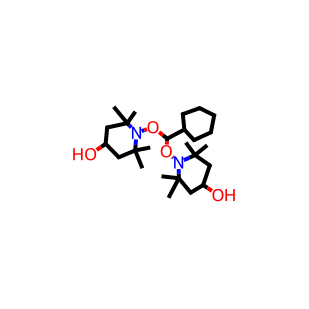 CC1(C)CC(O)CC(C)(C)N1OC(ON1C(C)(C)CC(O)CC1(C)C)C1CCCCC1